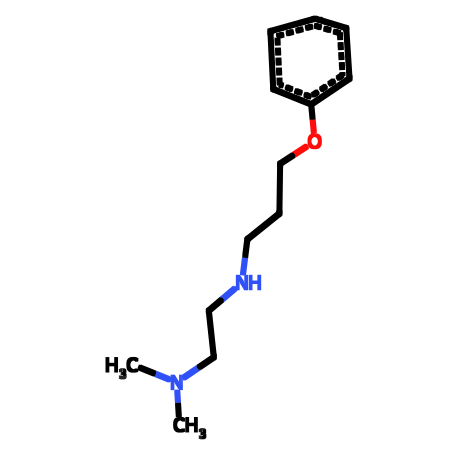 CN(C)CCNCCCOc1cc[c]cc1